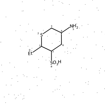 CCC1SCC(N)CC1S(=O)(=O)O